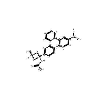 C[C@]1(O)C[C@](NC(=O)O)(c2ccc(-c3ncc([N+](=O)[O-])cc3-c3ccccc3)cc2)C1